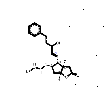 O=C1C[C@@H]2[C@@H](/C=C/C(O)CCc3ccccc3)[C@H](OPBP)C[C@@H]2O1